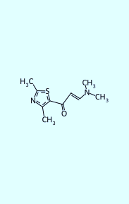 Cc1nc(C)c(C(=O)/C=C/N(C)C)s1